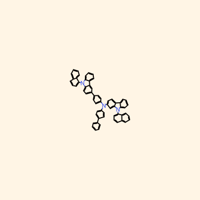 c1ccc(-c2ccc(N(c3ccc(-c4ccc5c(c4)c4ccccc4n5-c4cccc5ccccc45)cc3)c3ccc4c5ccccc5n(-c5cccc6ccccc56)c4c3)cc2)cc1